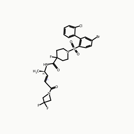 C[C@H](/C=C/C(=O)N1CC(F)(F)C1)NC(=O)C1(F)CCN(S(=O)(=O)c2ccc(Br)cc2-c2ccccc2Cl)CC1